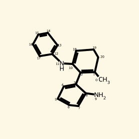 CC1=C(c2ccccc2N)C(Nc2ccccc2)=CCC1